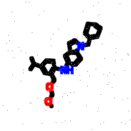 COCOCc1cc(C(C)C)ccc1Nc1ccc2c(ccn2Cc2ccccc2)c1